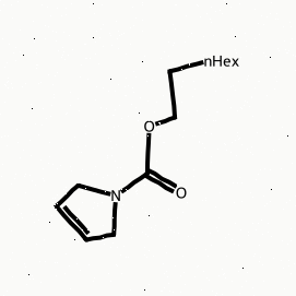 CCCCCCCCOC(=O)N1CC=CC1